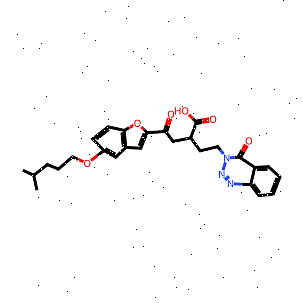 CC(C)CCCOc1ccc2oc(C(=O)CC(CCn3nnc4ccccc4c3=O)C(=O)O)cc2c1